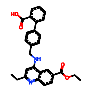 CCOC(=O)c1ccc2nc(CC)cc(NCc3ccc(-c4ccccc4C(=O)O)cc3)c2c1